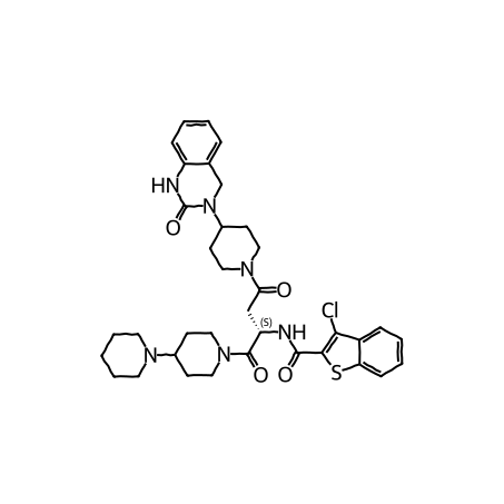 O=C(N[C@@H](CC(=O)N1CCC(N2Cc3ccccc3NC2=O)CC1)C(=O)N1CCC(N2CCCCC2)CC1)c1sc2ccccc2c1Cl